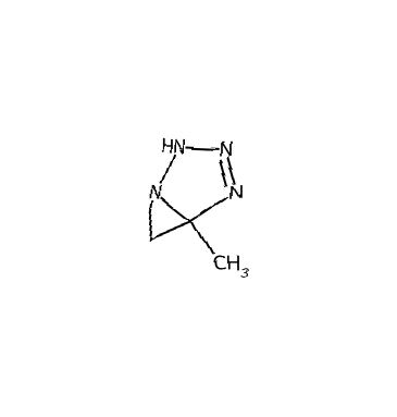 CC12CN1NN=N2